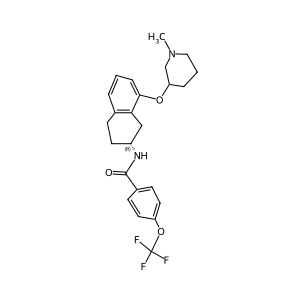 CN1CCCC(Oc2cccc3c2C[C@H](NC(=O)c2ccc(OC(F)(F)F)cc2)CC3)C1